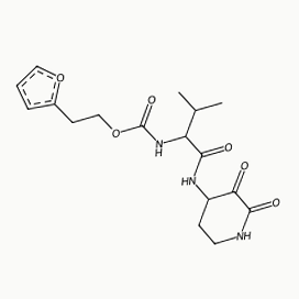 CC(C)C(NC(=O)OCCc1ccco1)C(=O)NC1CCNC(=O)C1=O